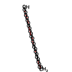 C=CC(=O)OCCOCCOCCOCCOCCOCCOCCOCCOCCOCCOCCOCCOCCOCCOCCOCCOCCOCCOCCOCCOCCOCCOCCO